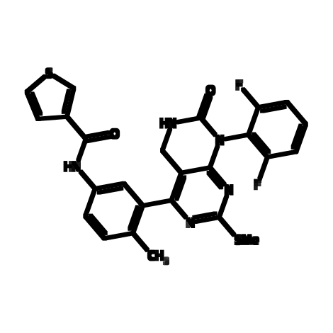 CSc1nc(-c2cc(NC(=O)c3ccsc3)ccc2C)c2c(n1)N(c1c(F)cccc1F)C(=O)NC2